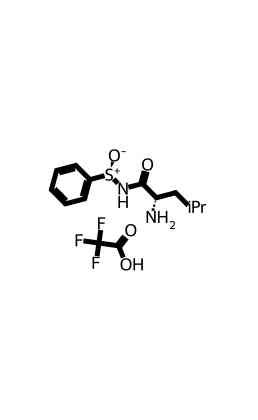 CC(C)C[C@H](N)C(=O)N[S@@+]([O-])c1ccccc1.O=C(O)C(F)(F)F